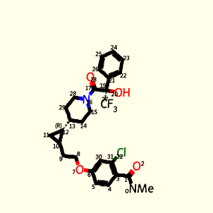 CNC(=O)c1ccc(OCCC2C[C@@H]2C2CCN(C(=O)[C@](O)(c3ccccc3)C(F)(F)F)CC2)cc1Cl